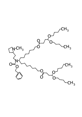 CCCCCOC(CCC(=O)OCCCCCCCC(CCCCCCCOC(=O)CCC(OCCCCC)OCCCCC)N(CCC1CCCN1C)C(=O)OCc1ccccc1)OCCCCC